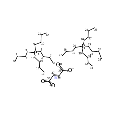 CCCC[P+](CCCC)(CCCC)CCCC.CCCC[P+](CCCC)(CCCC)CCCC.O=C([O-])/C=C/C(=O)[O-]